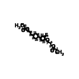 C=CC(=O)OCCCOc1ccc(C2CCC(CCCOC(=O)C=C)CC2)cc1F